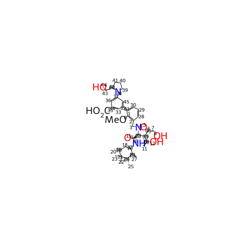 COc1c(CN2O[C@@H](CO)[C@@H]([C@H](C)O)[C@H]2C(=O)N[C@H]2C[C@@H](C)C(C)(C)[C@@H](C)[C@@H]2C)cccc1-c1cc(C(=O)O)cc(N2CCC[C@@H]2CO)c1